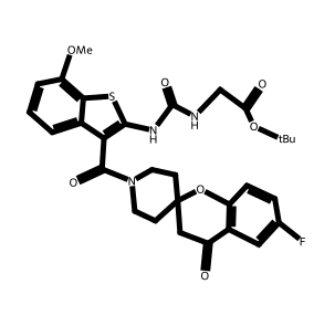 COc1cccc2c(C(=O)N3CCC4(CC3)CC(=O)c3cc(F)ccc3O4)c(NC(=O)NCC(=O)OC(C)(C)C)sc12